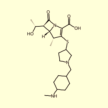 CNC1CCC(CN2CCC(SC3=C(C(=O)O)N4C(=O)[C@H]([C@@H](C)O)[C@H]4[C@H]3C)C2)CC1